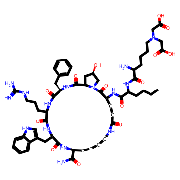 CCCCC(NC(=O)C(N)CCCCN(CC(=O)O)CC(=O)O)C(=O)NC1CCC(=O)NCCCCC(C(N)=O)NC(=O)C(Cc2c[nH]c3ccccc23)NC(=O)C(CCCNC(=N)N)NC(=O)[C@@H](Cc2ccccc2)NC(=O)C2C[C@@H](O)CN2C1=O